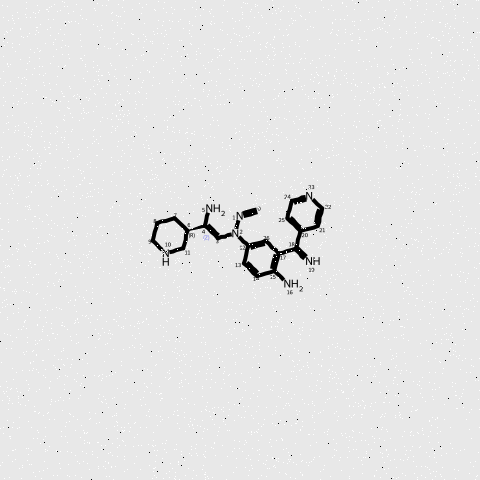 C=NN(/C=C(\N)[C@@H]1CCCNC1)c1ccc(N)c(C(=N)c2ccncc2)c1